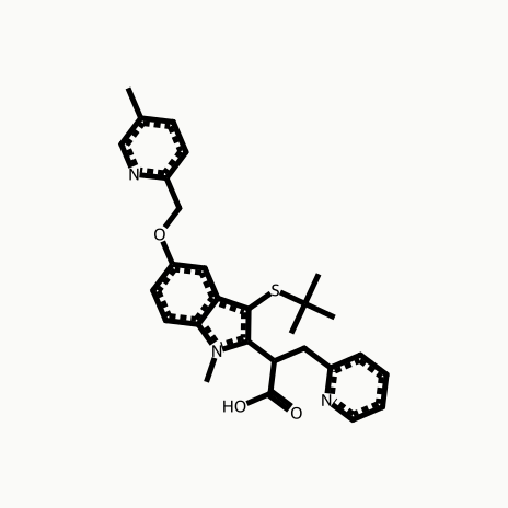 Cc1ccc(COc2ccc3c(c2)c(SC(C)(C)C)c(C(Cc2ccccn2)C(=O)O)n3C)nc1